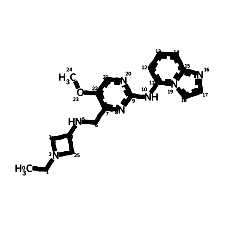 CCN1CC(NCc2nc(Nc3cccc4nccn34)ncc2OC)C1